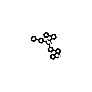 c1ccc(-c2ccc(-c3nc(-c4cccc(-c5cccc6c5-c5ccccc5CO6)c4)nc(-c4ccccc4-c4ccccc4)n3)cc2)cc1